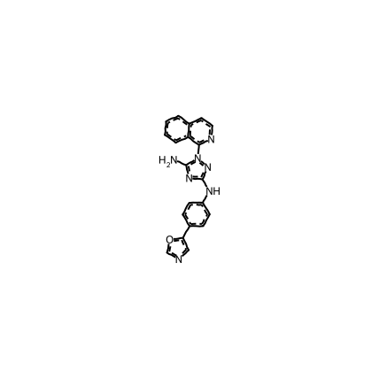 Nc1nc(Nc2ccc(-c3cnco3)cc2)nn1-c1nccc2ccccc12